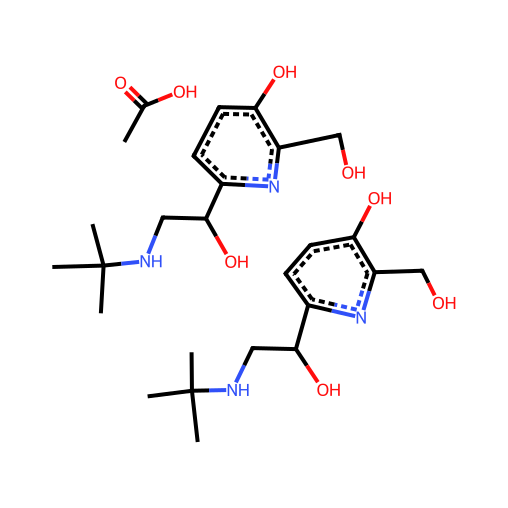 CC(=O)O.CC(C)(C)NCC(O)c1ccc(O)c(CO)n1.CC(C)(C)NCC(O)c1ccc(O)c(CO)n1